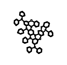 c1ccc(N(c2ccccc2)c2cc3c4c(c2)N(c2ccccc2)c2cc5c(cc2B4c2ccccc2O3)B2c3cc4c(cc3Oc3cc(N(c6ccccc6)c6ccccc6)cc(c32)N5c2ccccc2)N(c2ccccc2)c2ccccc2S4)cc1